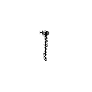 CCCCCC=CCC=CCCCCCCCCCS(=O)(=O)O